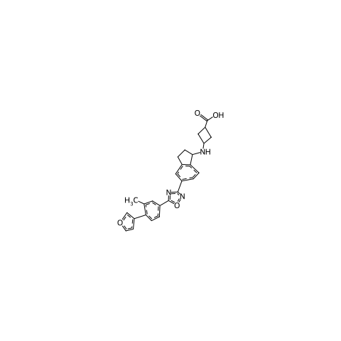 Cc1cc(-c2nc(-c3ccc4c(c3)CCC4NC3CC(C(=O)O)C3)no2)ccc1-c1ccoc1